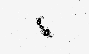 CCCCc1ccc(-c2ccc(C(F)(F)Oc3ccc(OC(F)=C(F)F)c(F)c3)c(F)c2)cc1